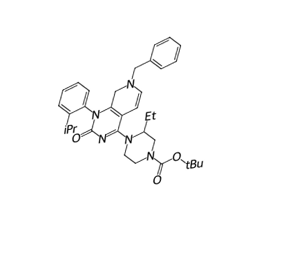 CCC1CN(C(=O)OC(C)(C)C)CCN1c1nc(=O)n(-c2ccccc2C(C)C)c2c1C=CN(Cc1ccccc1)C2